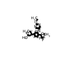 CCOc1ncc(Nc2cc(C(CC)CC(=O)O)ccc2C(OC)C(F)(F)F)cn1